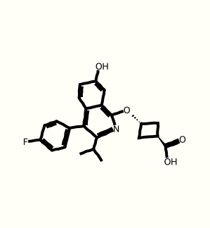 CC(C)c1nc(O[C@H]2C[C@H](C(=O)O)C2)c2cc(O)ccc2c1-c1ccc(F)cc1